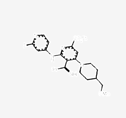 CCOC(=O)c1cc(N2CCC(COC)CC2)c(C(=N)C(C)C)c(Nc2ccnc(F)c2)n1